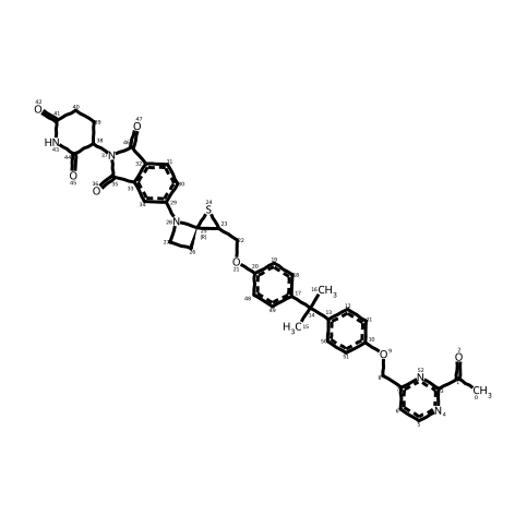 CC(=O)c1nccc(COc2ccc(C(C)(C)c3ccc(OCC4S[C@]45CCN5c4ccc5c(c4)C(=O)N(C4CCC(=O)NC4=O)C5=O)cc3)cc2)n1